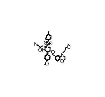 COCCCN1CCOc2ccc(CO[C@H]3CN(S(=O)(=O)c4ccc(C)cc4)[C@@H](C[C@@H](O)C#N)C[C@@H]3c3ccc(OC)cc3)cc21